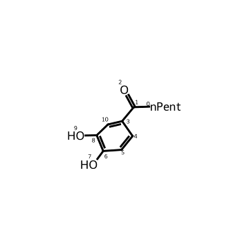 [CH2]CCCCC(=O)c1ccc(O)c(O)c1